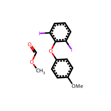 COC=O.COc1ccc(Oc2c(I)cccc2I)cc1